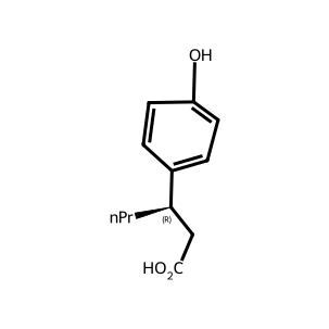 CCC[C@H](CC(=O)O)c1ccc(O)cc1